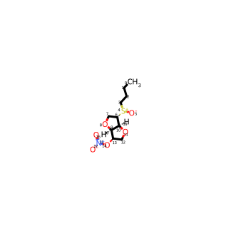 CCCC[S+]([O-])[C@H]1CO[C@H]2[C@@H]1OC[C@H]2O[N+](=O)[O-]